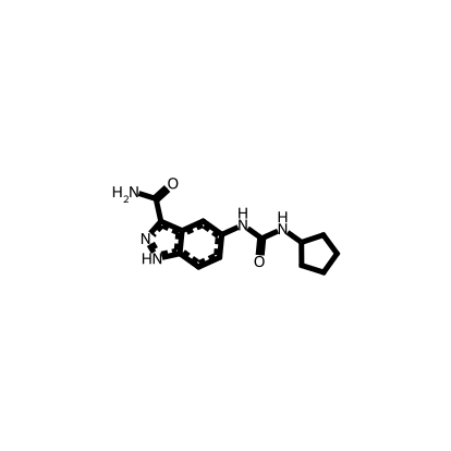 NC(=O)c1n[nH]c2ccc(NC(=O)NC3CCCC3)cc12